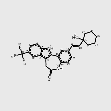 O=C1Cc2c([nH]c3ccc(C(F)(F)F)cc23)-c2cc(/C=C/C3(O)CCCCC3)ccc2N1